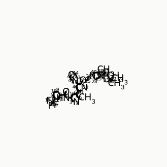 Cc1ncc(NC(=O)c2cccc(C(F)(F)F)c2)cc1-c1cnc(OCCN2CCN(C(=O)OC(C)(C)C)[C@@H](C)C2)c(N2CCOCC2)c1